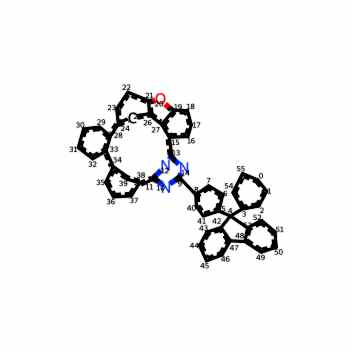 c1ccc(C2(c3ccc(-c4nc5nc(n4)c4cccc6oc7ccc(cc7c64)c4ccccc4c4cccc5c4)cc3)c3ccccc3-c3ccccc32)cc1